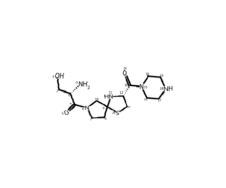 N[C@@H](CO)C(=O)N1CCC2(C1)N[C@H](C(=O)N1CCNCC1)CS2